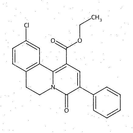 CCOC(=O)c1cc(-c2ccccc2)c(=O)n2c1-c1cc(Cl)ccc1CC2